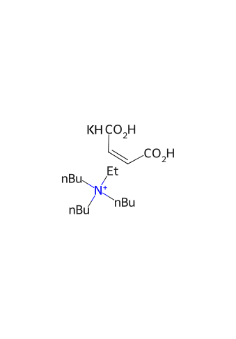 CCCC[N+](CC)(CCCC)CCCC.O=C(O)/C=C\C(=O)O.[KH]